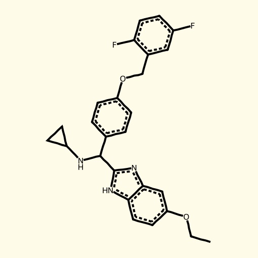 CCOc1ccc2[nH]c(C(NC3CC3)c3ccc(OCc4cc(F)ccc4F)cc3)nc2c1